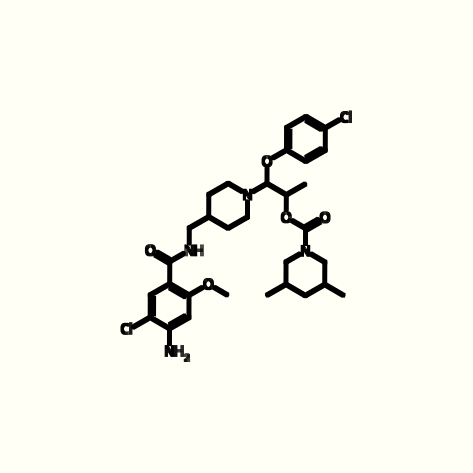 COc1cc(N)c(Cl)cc1C(=O)NCC1CCN(C(Oc2ccc(Cl)cc2)C(C)OC(=O)N2CC(C)CC(C)C2)CC1